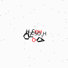 CO.CS(=O)(=O)O.c1ccc(COc2cc3cc-3c2)cc1